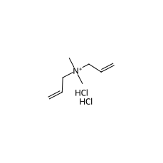 C=CC[N+](C)(C)CC=C.Cl.Cl